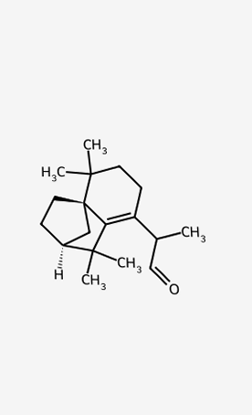 CC(C=O)C1=C2C(C)(C)[C@H]3CC[C@@]2(C3)C(C)(C)CC1